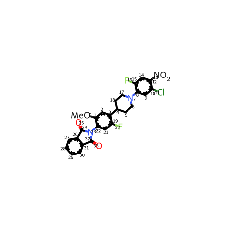 COc1cc(C2CCN(c3cc(Cl)c([N+](=O)[O-])cc3F)CC2)c(F)cc1N1C(=O)c2ccccc2C1=O